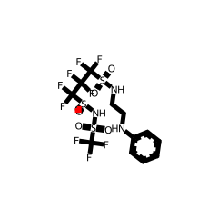 O=S(=O)(NS(=O)(=O)C(F)(F)C(F)(F)C(F)(F)S(=O)(=O)NCCNc1ccccc1)C(F)(F)F